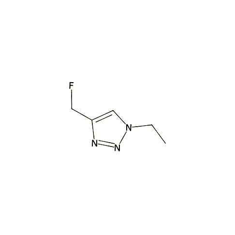 CCn1cc(CF)nn1